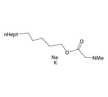 CCCCCCCCCCCCOC(=O)CNC.[K].[Na]